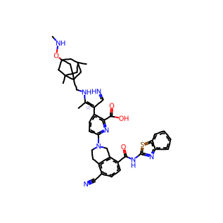 CNOC12CC3(C)CC(C)(C1)C(CN/C(C)=C(\C=N)c1ccc(N4CCc5c(C#N)ccc(C(=O)Nc6nc7ccccc7s6)c5C4)nc1C(=O)O)(C3)C2